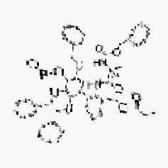 CCC(=O)OCc1cccc(-c2cc(OCc3ccccc3)c(OP=O)c(OCc3ccccc3)c2OCc2ccccc2)c1NC(=O)[C@H](C)NC(=O)OCc1ccccc1